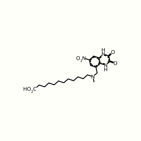 CN(CCCCCCCCCCCC(=O)O)Cc1cc([N+](=O)[O-])cc2[nH]c(=O)c(=O)[nH]c12